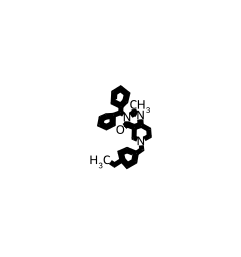 CCc1ccc(CN2CCc3nc(C)n(C(c4ccccc4)c4ccccc4)c(=O)c3C2)cc1